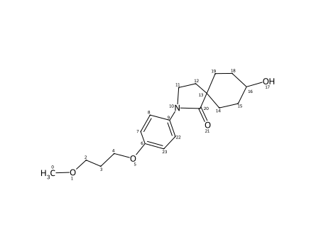 COCCCOc1ccc(N2CCC3(CCC(O)CC3)C2=O)cc1